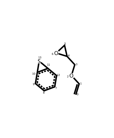 C=COCC1CO1.c1ccc2c(c1)S2